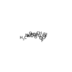 Cc1cn(-c2ccc3n(c2=O)CCN([C@@H](C)COc2ccc(F)c4c2CC(C(F)(F)F)O4)C3=O)cn1